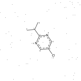 CC(C)c1ncc(Cl)cn1